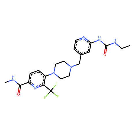 CCNC(=O)Nc1cc(CN2CCN(c3ccc(C(=O)NC)nc3C(F)(F)F)CC2)ccn1